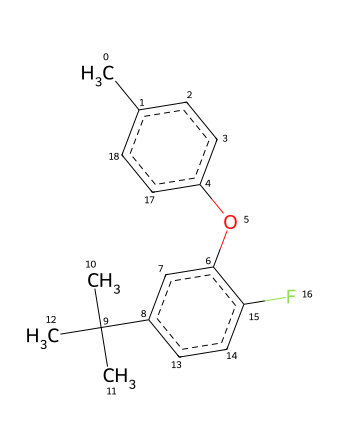 Cc1ccc(Oc2cc(C(C)(C)C)ccc2F)cc1